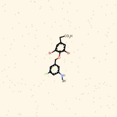 CC(C)Nc1cc(F)cc(COc2c(Br)cc(CC(=O)O)cc2Br)c1